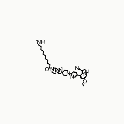 CCOc1cc(-c2ccc(N3CCC(CN4CCN(C(=O)CCCCCCCCCCNC)CC4)(NC)CC3)nc2)c2c(C#N)cnn2c1